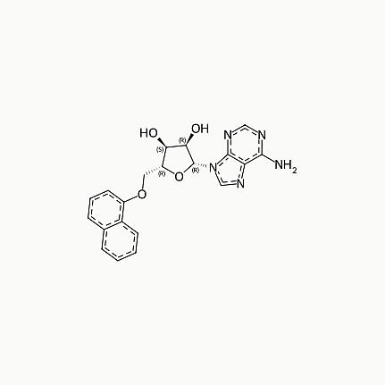 Nc1ncnc2c1ncn2[C@@H]1O[C@H](COc2cccc3ccccc23)[C@@H](O)[C@H]1O